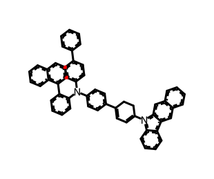 C1=C(c2ccc(N(c3ccc(-c4ccccc4)cc3)c3ccccc3-c3cccc4ccccc34)cc2)CCC(n2c3ccccc3c3cc4ccccc4cc32)=C1